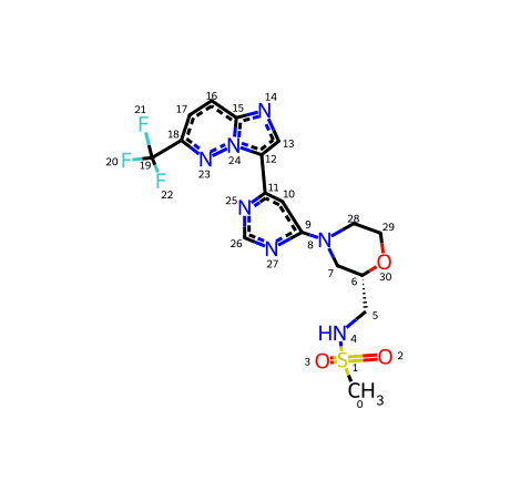 CS(=O)(=O)NC[C@@H]1CN(c2cc(-c3cnc4ccc(C(F)(F)F)nn34)ncn2)CCO1